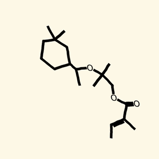 CC=C(C)C(=O)OCC(C)(C)OC(C)C1CCCC(C)(C)C1